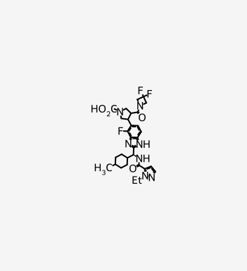 CCn1nccc1C(=O)N[C@H](c1nc2c(F)c(C3CN(C(=O)O)CC3C(=O)N3CC(F)(F)C3)ccc2[nH]1)C1CCC(C)CC1